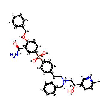 Cc1ccc([C@@H](O)CN(CCc2ccc(S(=O)(=O)c3ccc(OCc4ccccc4)c(C(N)=O)c3)cc2)Cc2ccccc2)cn1